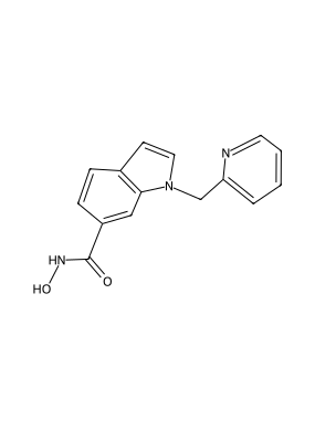 O=C(NO)c1ccc2ccn(Cc3ccccn3)c2c1